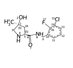 C[C@@]1(O)CN[C@H](C(=O)NCc2cccc(Cl)c2F)C1